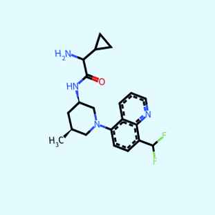 C[C@H]1C[C@@H](NC(=O)C(N)C2CC2)CN(c2ccc(C(F)F)c3ncccc23)C1